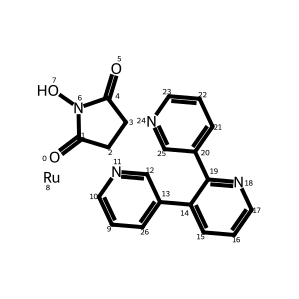 O=C1CCC(=O)N1O.[Ru].c1cncc(-c2cccnc2-c2cccnc2)c1